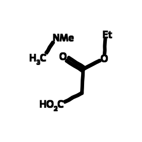 CCOC(=O)CC(=O)O.CNC